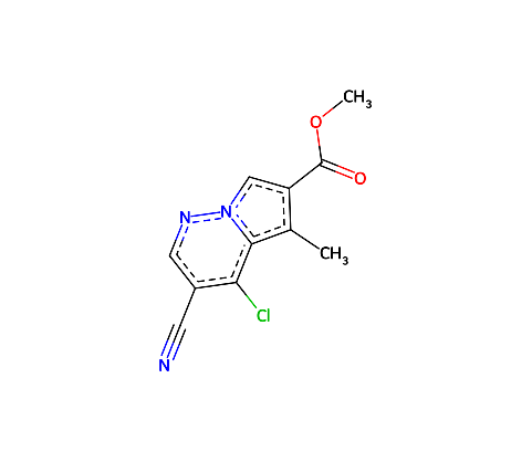 COC(=O)c1cn2ncc(C#N)c(Cl)c2c1C